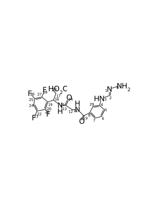 NN=CNc1cccc(C(=O)NCC(=O)NC(CC(=O)O)c2c(F)c(F)cc(F)c2F)c1